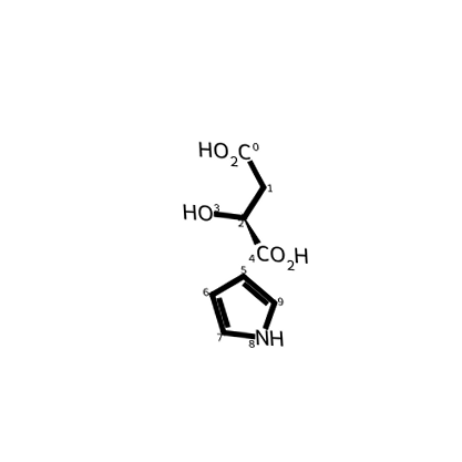 O=C(O)C[C@H](O)C(=O)O.c1cc[nH]c1